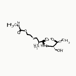 CNC(=O)OCCSC[C@H](N)C(=O)N[C@@H](CO)C(=O)OC